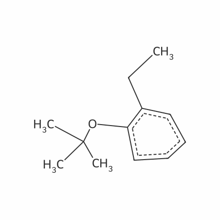 CCc1ccccc1OC(C)(C)C